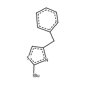 CC(C)(C)c1nc(Cc2ccccc2)cs1